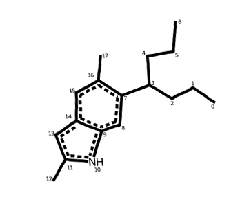 CCCC(CCC)c1cc2[nH]c(C)cc2cc1C